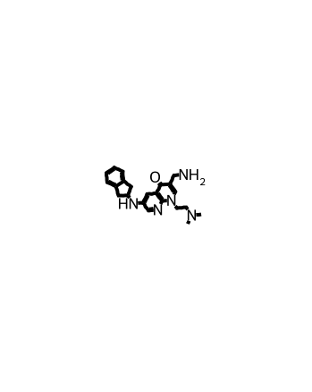 CN(C)CCn1cc(CN)c(=O)c2cc(NC3Cc4ccccc4C3)cnc21